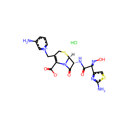 Cl.Nc1ccc[n+](CC2=C(C(=O)[O-])N3C(=O)[C@@H](NC(=O)C(=NO)c4csc(N)n4)[C@@H]3SC2)c1